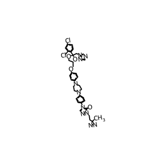 CC1(CCn2ncn(-c3ccc(N4CCN(c5ccc(OCC6COC(Cn7cncn7)(c7ccc(Cl)cc7Cl)O6)cc5)CC4)cc3)c2=O)N=N1